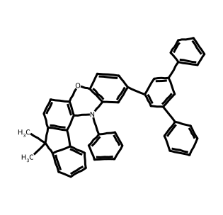 CC1(C)c2ccccc2-c2c1ccc1c2N(c2ccccc2)c2cc(-c3cc(-c4ccccc4)cc(-c4ccccc4)c3)ccc2O1